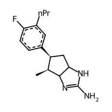 CCCc1cc([C@H]2CC3NC(N)=NC3[C@H]2C)ccc1F